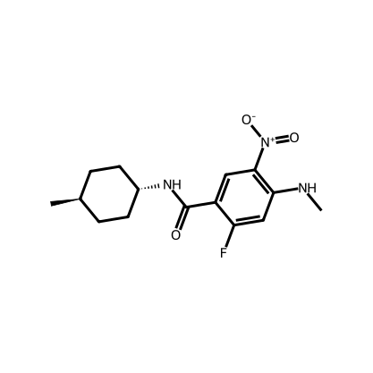 CNc1cc(F)c(C(=O)N[C@H]2CC[C@H](C)CC2)cc1[N+](=O)[O-]